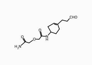 NC(=O)COCC(=O)NC1CC=C(CCC=O)CC1